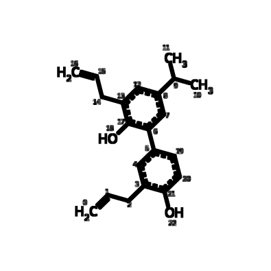 C=CCc1cc(-c2cc(C(C)C)cc(CC=C)c2O)ccc1O